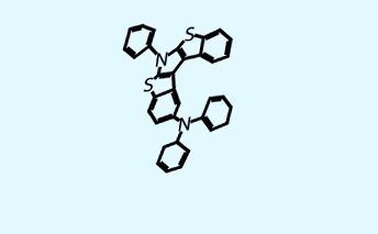 C1=CCC(N(C2=CCCC=C2)c2ccc3sc4c(c3c2)c2c3ccccc3sc2n4-c2ccccc2)C=C1